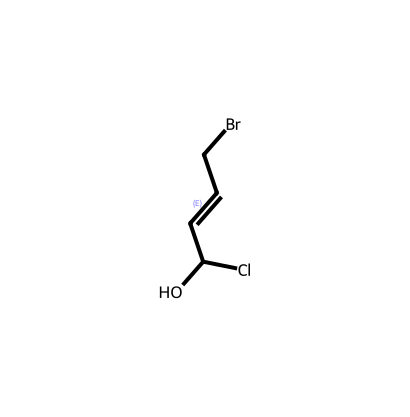 OC(Cl)/C=C/CBr